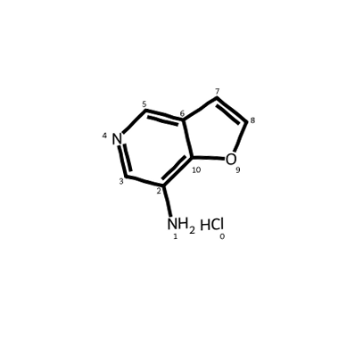 Cl.Nc1cncc2ccoc12